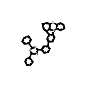 c1ccc(-c2nc(-c3ccccc3)nc(-c3cccc(-c4ccc5c(c4)c4cccc6c4n5-c4ccccc4O6)c3)n2)cc1